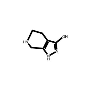 Oc1n[nH]c2c1CCNC2